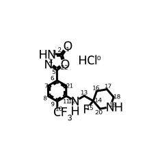 Cl.O=c1[nH]nc(-c2ccc(C(F)(F)F)c(NCC3(F)CCCNC3)c2)o1